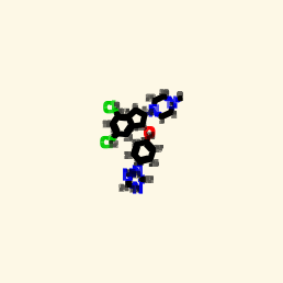 CN1CCN([C@H]2Cc3c(Cl)cc(Cl)cc3[C@H]2Oc2ccc(-n3cncn3)cc2)CC1